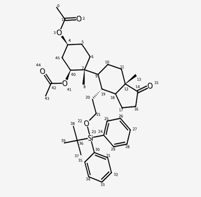 CC(=O)O[C@H]1CC[C@](C)(C2CC[C@]3(C)C(=O)CCC3[C@@H]2CCO[Si](c2ccccc2)(c2ccccc2)C(C)(C)C)[C@@H](OC(C)=O)C1